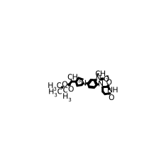 C[C@H](C(=O)OC(C)(C)C)C1CCN(c2ccc3c(c2)n(C)c(=O)n3C2CCC(=O)NC2=O)CC1